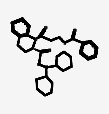 O=C(SCCC(=O)N1c2ccccc2CC[C@H]1C(=O)ON(C1CCCCC1)C1CCCCC1)c1ccccc1